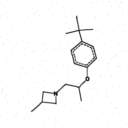 CC1CN(CC(C)Oc2ccc(C(C)(C)C)cc2)C1